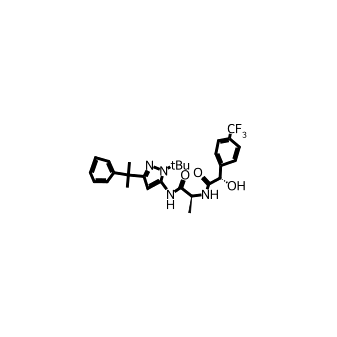 C[C@H](NC(=O)[C@@H](O)c1ccc(C(F)(F)F)cc1)C(=O)Nc1cc(C(C)(C)c2ccccc2)nn1C(C)(C)C